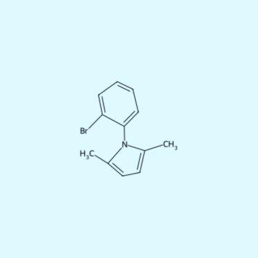 Cc1ccc(C)n1-c1ccccc1Br